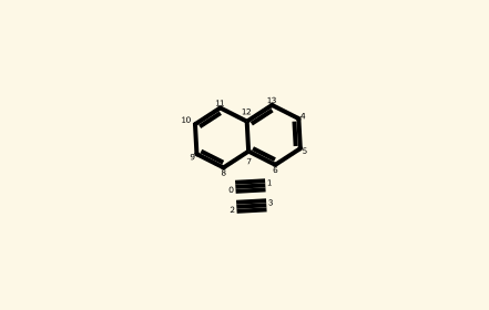 C#C.C#C.c1ccc2ccccc2c1